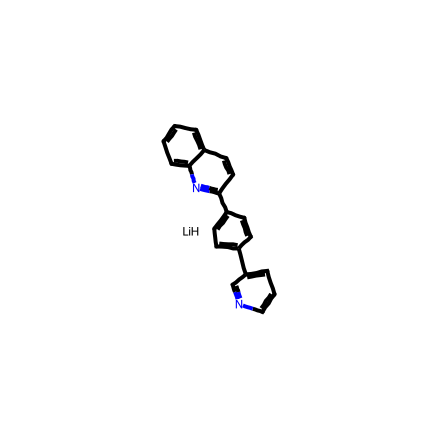 [LiH].c1cncc(-c2ccc(-c3ccc4ccccc4n3)cc2)c1